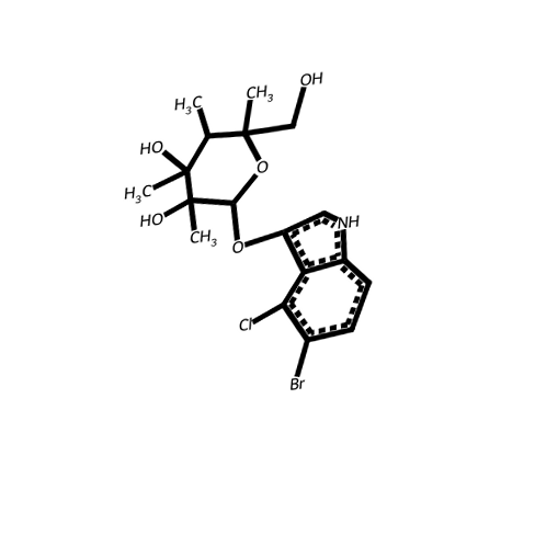 CC1C(C)(CO)OC(Oc2c[nH]c3ccc(Br)c(Cl)c23)C(C)(O)C1(C)O